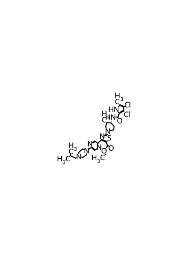 CCOC(=O)c1sc(N2CC[C@@H](NC(=O)c3[nH]c(C)c(Cl)c3Cl)[C@@H](C)C2)nc1-c1cnc(N2CCN(CC(C)C)CC2)cn1